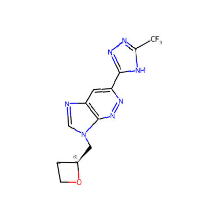 FC(F)(F)c1nnc(-c2cc3ncn(C[C@@H]4CCO4)c3nn2)[nH]1